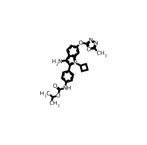 Cc1nnc(Oc2ccc3c(N)c(-c4ccc(NC(=O)OC(C)C)cc4)n(C4CCC4)c3c2)o1